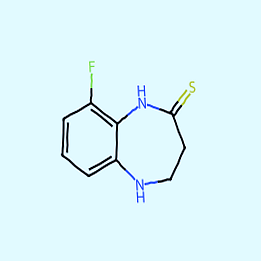 Fc1cccc2c1NC(=S)CCN2